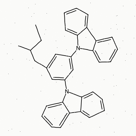 CCC(C)Cc1cc(-n2c3ccccc3c3ccccc32)cc(-n2c3ccccc3c3ccccc32)c1